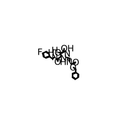 O=C(NCc1nc(O)c(O)c(C(=O)NCc2ccc(F)cc2)n1)OCc1ccccc1